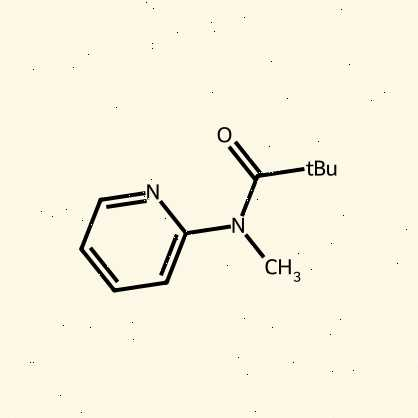 CN(C(=O)C(C)(C)C)c1ccccn1